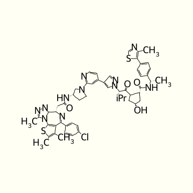 Cc1ncsc1-c1ccc([C@H](C)NC(=O)[C@@H]2C[C@@H](O)CC2C(=O)[C@H](C(C)C)n2cc(-c3ccnc(N4CC[C@H](NC(=O)C[C@@H]5N=C(c6ccc(Cl)cc6)c6c(sc(C)c6C)-n6c(C)nnc65)C4)c3)cn2)cc1